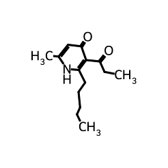 CCCCCc1[nH]c(C)cc(=O)c1C(=O)CC